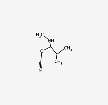 CNC(OC#N)C(C)C